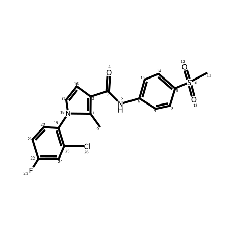 Cc1c(C(=O)Nc2ccc(S(C)(=O)=O)cc2)ccn1-c1ccc(F)cc1Cl